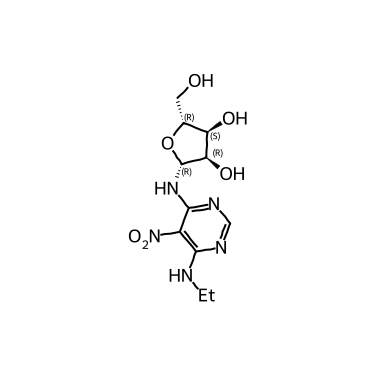 CCNc1ncnc(N[C@@H]2O[C@H](CO)[C@@H](O)[C@H]2O)c1[N+](=O)[O-]